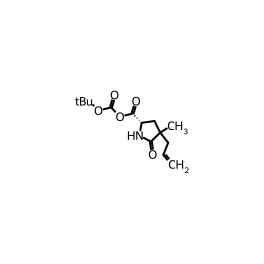 C=CCC1(C)C[C@@H](C(=O)OC(=O)OC(C)(C)C)NC1=O